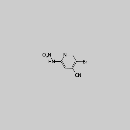 N#Cc1cc(N[N+](=O)[O-])ncc1Br